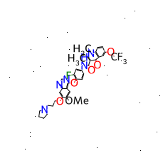 COc1cc2c(Oc3ccc(NC(=O)c4c(C)n(C)c5ccc(OC(F)(F)F)cc5c4=O)cc3F)ncnc2cc1OCCCN1CCCC1